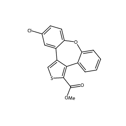 COC(=O)c1scc2c1-c1ccccc1Oc1ccc(Cl)cc1-2